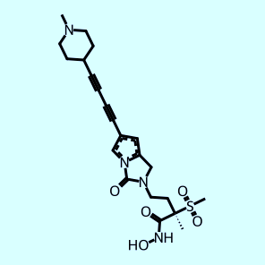 CN1CCC(C#CC#Cc2cc3n(c2)C(=O)N(CC[C@](C)(C(=O)NO)S(C)(=O)=O)C3)CC1